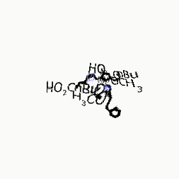 CCCCOC(C)OC(/C=C/[C@@H]1[C@@H](C/C=C\CCCC(=O)O)[C@@H](O)C[C@H]1OC(C)OCCCC)CCc1ccccc1